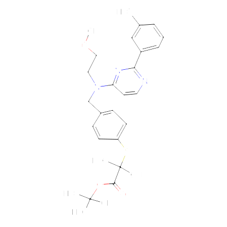 COCCN(Cc1ccc(SC(C)(C)C(=O)OC(C)(C)C)cc1)c1ccnc(-c2cccc(C)c2)n1